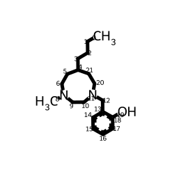 CCCCC1CCN(C)CCN(Cc2ccccc2O)CC1